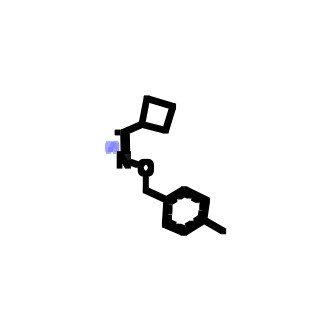 Cc1ccc(CO/N=[C]\C2CCC2)cc1